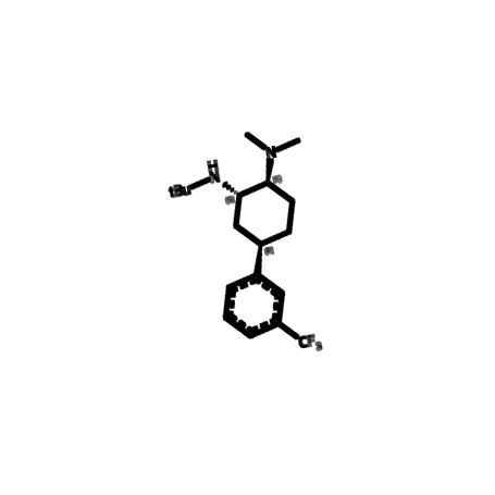 CN(C)[C@H]1CC[C@@H](c2cccc(C(F)(F)F)c2)C[C@@H]1NC(C)(C)C